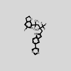 CC(C)(CC(O)(Cc1cc2cc(-c3cncnc3)ccc2[nH]1)C(F)(F)F)c1cc(F)cc2c1OCC2